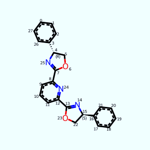 c1ccc([C@@H]2COC(c3cccc(C4=N[C@@H](c5ccccc5)CO4)n3)=N2)cc1